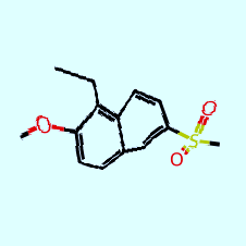 CCc1c(OC)ccc2cc(S(C)(=O)=O)ccc12